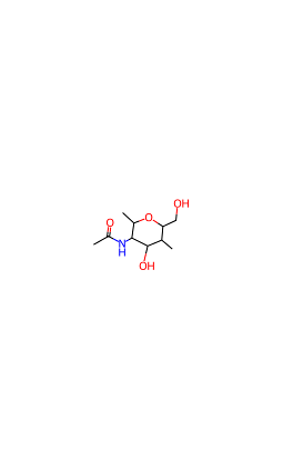 CC(=O)NC1C(C)OC(CO)C(C)C1O